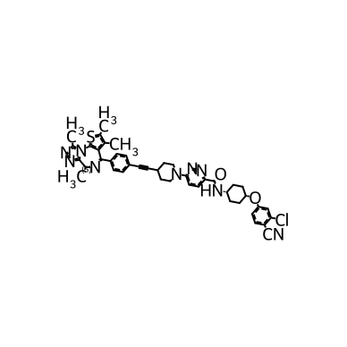 Cc1sc2c(c1C)C(c1ccc(C#CC3CCN(c4ccc(C(=O)N[C@H]5CC[C@H](Oc6ccc(C#N)c(Cl)c6)CC5)nn4)CC3)cc1)=N[C@@H](C)c1nnc(C)n1-2